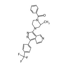 CC1CN(c2nnc(-c3ccc(C(F)(F)F)cc3)c3ccncc23)CCN1C(=O)c1ccccc1